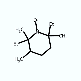 CCC1(C)CCC(C)C(C)(CC)N1[O]